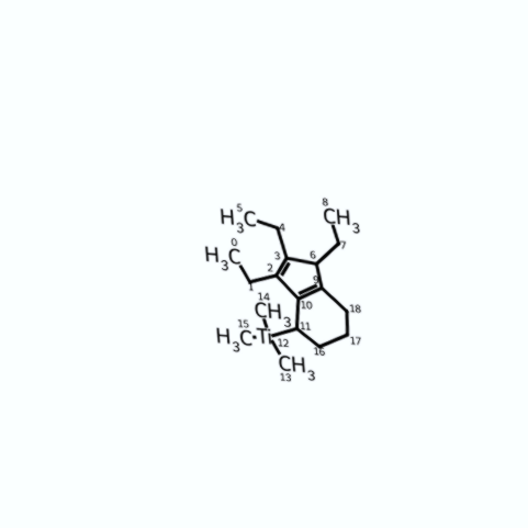 CCC1=C(CC)C(CC)C2=C1[CH]([Ti]([CH3])([CH3])[CH3])CCC2